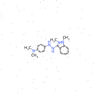 CN(C)c1ccc(NNc2c3ccccc3n(C)[n+]2C)cc1